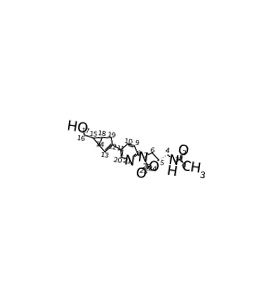 CC(=O)NC[C@H]1CN(c2ccc(C3=CC4C(CO)C4C3)cn2)C(=O)O1